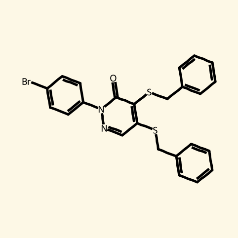 O=c1c(SCc2ccccc2)c(SCc2ccccc2)cnn1-c1ccc(Br)cc1